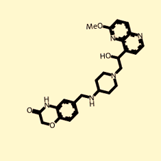 COc1ccc2nccc(C(O)CN3CCC(NCc4ccc5c(c4)NC(=O)CO5)CC3)c2n1